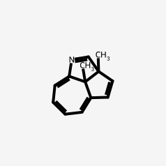 CC12C=CC3=CC=CC=C(N=C1)C32C